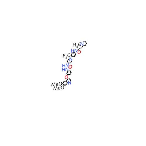 COc1cc2nccc(Oc3cccc(NC(=O)NC4CCN(c5ccc(NC(=O)CCC6CCCCN6C)cc5C(F)(F)F)CC4)c3)c2cc1OC